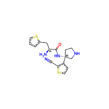 N#Cc1sccc1[C@@]1(NC(=O)[C@@H](N)Cc2cccs2)CCNC1